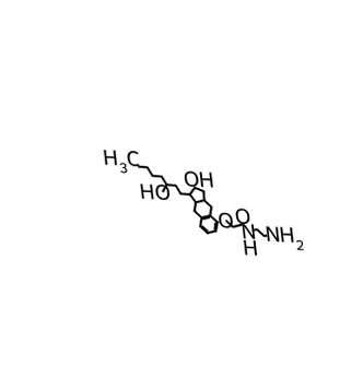 CCCCCC(O)CCC1C(O)CC2Cc3c(cccc3OCC(=O)NCCN)CC21